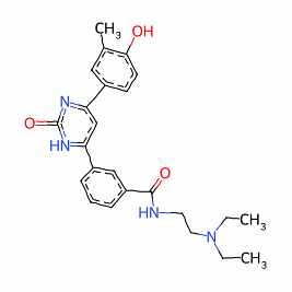 CCN(CC)CCNC(=O)c1cccc(-c2cc(-c3ccc(O)c(C)c3)nc(=O)[nH]2)c1